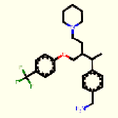 CC(c1ccc(CN)cc1)C(CCN1CCCCC1)COc1ccc(C(F)(F)F)cc1